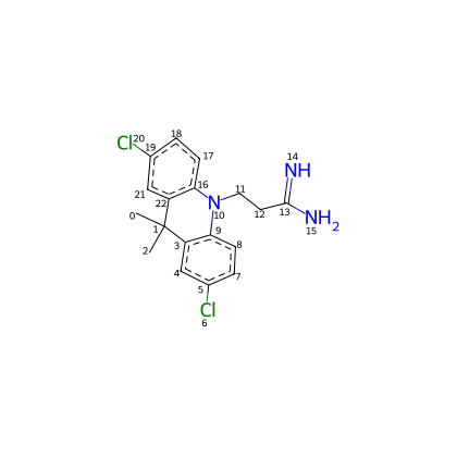 CC1(C)c2cc(Cl)ccc2N(CCC(=N)N)c2ccc(Cl)cc21